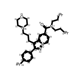 CC(C)CCN(CCC(C)C)C(=O)c1ccn2nc(-c3ccc(C(C)C)cc3)c(CCCN3CCOCC3)c2c1